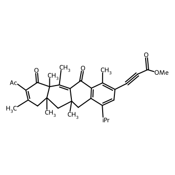 COC(=O)C#Cc1cc(C(C)C)c2c(c1C)C(=O)C1=C(C)C3(C)C(=O)C(C(C)=O)=C(C)CC3(C)CC1(C)C2